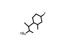 CCCCC(C)C(C)C1CCC(F)CC1C